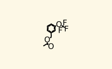 CC(=O)OCc1cccc(OC(F)(F)F)c1